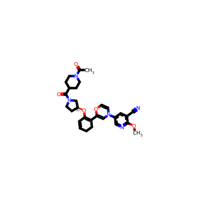 COc1ncc(N2C=COC(C3=C(O[C@H]4CCN(C(=O)C5CCN(C(C)=O)CC5)C4)C=CCC3)=C2)cc1C#N